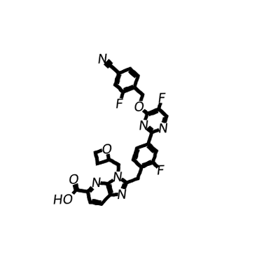 N#Cc1ccc(COc2nc(-c3ccc(Cc4nc5ccc(C(=O)O)nc5n4CC4CCO4)c(F)c3)ncc2F)c(F)c1